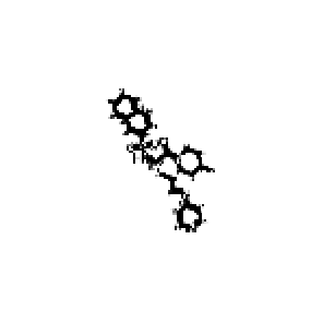 CC1CCN(C(=O)[C@H](CCC=Nc2ccncc2)NS(=O)(=O)c2ccc3ccccc3c2)CC1